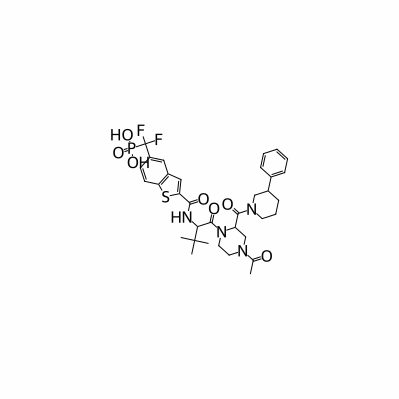 CC(=O)N1CCN(C(=O)C(NC(=O)c2cc3cc(C(F)(F)P(=O)(O)O)ccc3s2)C(C)(C)C)C(C(=O)N2CCCC(c3ccccc3)C2)C1